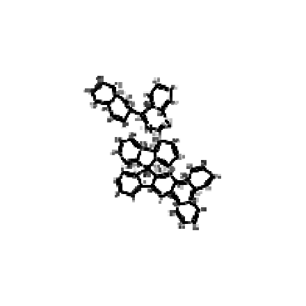 c1ccc2c(c1)-c1cc3c4ccccc4c4ccccc4c3cc1C21c2ccccc2-c2c(-c3nc(-c4ccc5ccccc5c4)c4ccccc4n3)cccc21